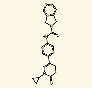 O=C(Nc1ccc(C2=NN(C3CC3)C(=O)CC2)cc1)N1Cc2ccncc2C1